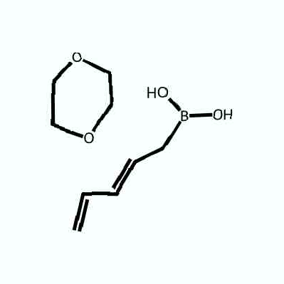 C1COCCO1.C=CC=CCB(O)O